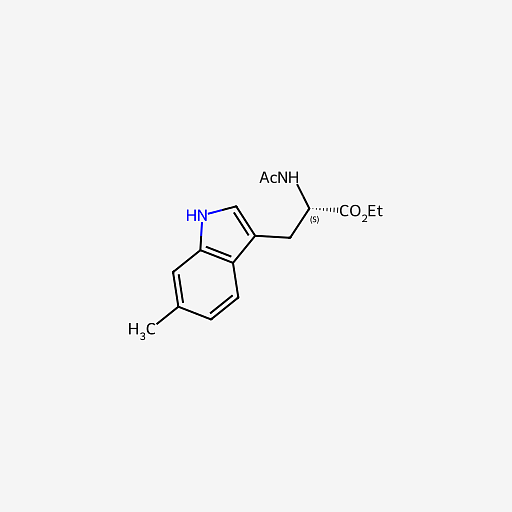 CCOC(=O)[C@H](Cc1c[nH]c2cc(C)ccc12)NC(C)=O